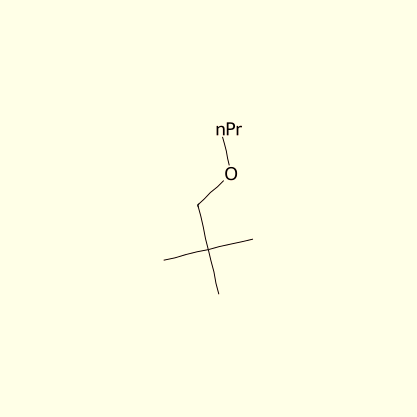 [CH2]CCOCC(C)(C)C